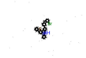 Brc1cccc2c1-c1cc(-c3ccc4c(c3)-c3c(ccc5c3sc3ccccc35)N(c3ccccc3)N4)ccc1C2